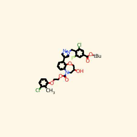 Cc1c(Cl)cccc1OCCOC(=O)N1CC(O)COc2c(-c3cnn(Cc4c(F)cc(C(=O)OC(C)(C)C)cc4Cl)c3)cccc21